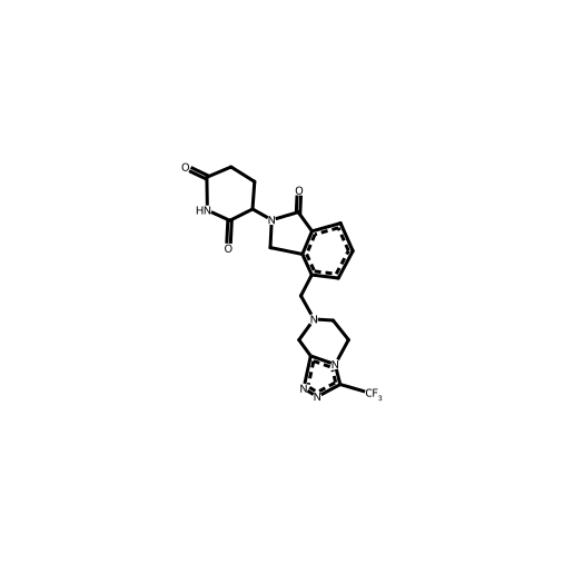 O=C1CCC(N2Cc3c(CN4CCn5c(nnc5C(F)(F)F)C4)cccc3C2=O)C(=O)N1